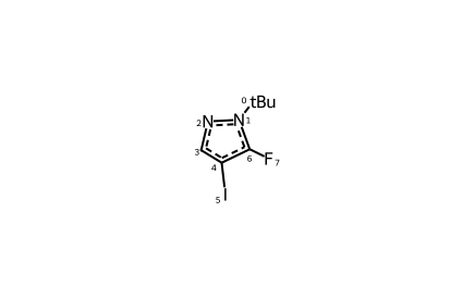 CC(C)(C)n1ncc(I)c1F